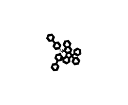 c1c(-c2ccccc2)ccc(N(c2ccc(-c3ccccc3)cc2)c2c3c(cc4ccccc24)C(c2ccccc2)(c2ccccc2)c2ccccc2-3)c#1